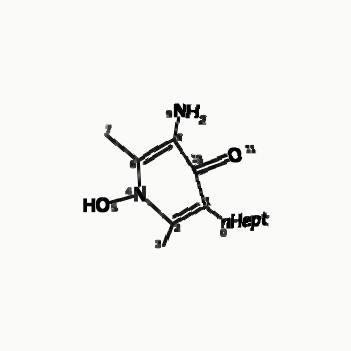 CCCCCCCc1c(C)n(O)c(C)c(N)c1=O